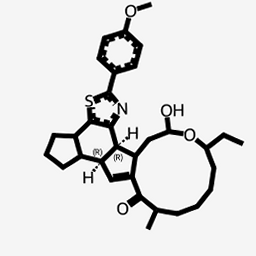 CCC1CCCCC(C)C(=O)C2=C[C@H]3C4CCCC4c4sc(-c5ccc(OC)cc5)nc4[C@H]3C2CC(O)O1